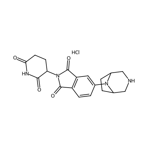 Cl.O=C1CCC(N2C(=O)c3ccc(N4C5CCC4CNC5)cc3C2=O)C(=O)N1